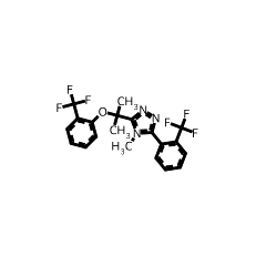 Cn1c(-c2ccccc2C(F)(F)F)nnc1C(C)(C)Oc1ccccc1C(F)(F)F